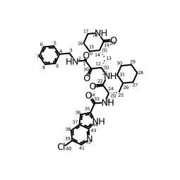 O=C(NCc1ccccc1)C(=O)[C@H](C[C@@H]1CCCNC1=O)NC(=O)[C@H](CC1CCCCC1)NC(=O)c1cc2cc(Cl)cnc2[nH]1